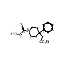 CCOC(=O)CC1(c2ccccc2)CCN(C(=O)OC(C)(C)C)CC1